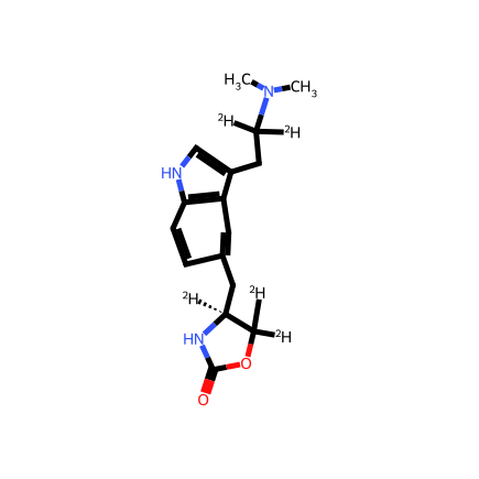 [2H]C([2H])(Cc1c[nH]c2ccc(C[C@]3([2H])NC(=O)OC3([2H])[2H])cc12)N(C)C